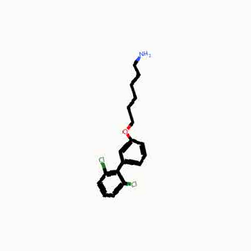 NCCCCCCOc1cccc(-c2c(Cl)cccc2Cl)c1